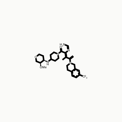 C=C(/C(C)=C(\N=C/N)C(=O)N1CCC(N[C@@H]2CCOC[C@@H]2OC)CC1)N1CCc2ccc(C(F)(F)F)cc2C1